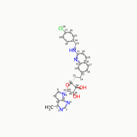 Cc1ncnc2c1ccn2[C@@H]1O[C@H](CCc2ccc3ccc(NCc4ccc(Cl)cc4)nc3c2)[C@@H](O)[C@H]1O